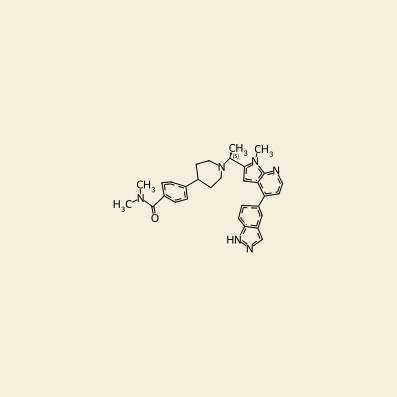 C[C@@H](c1cc2c(-c3ccc4[nH]ncc4c3)ccnc2n1C)N1CCC(c2ccc(C(=O)N(C)C)cc2)CC1